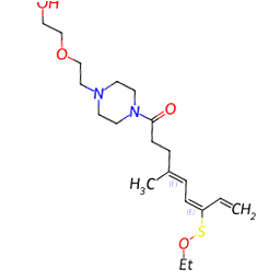 C=C/C(=C\C=C(/C)CCC(=O)N1CCN(CCOCCO)CC1)SOCC